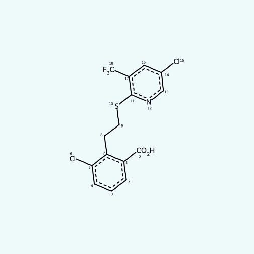 O=C(O)c1cccc(Cl)c1CCSc1ncc(Cl)cc1C(F)(F)F